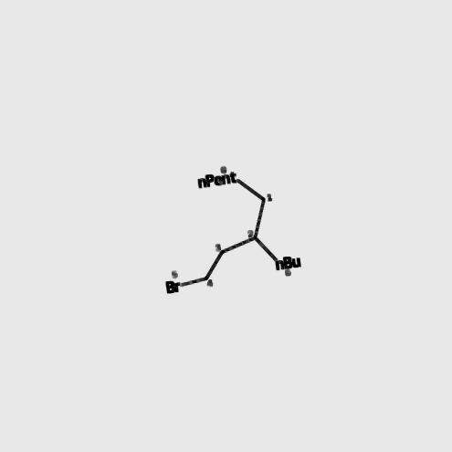 CCCCCCC(CCBr)CCCC